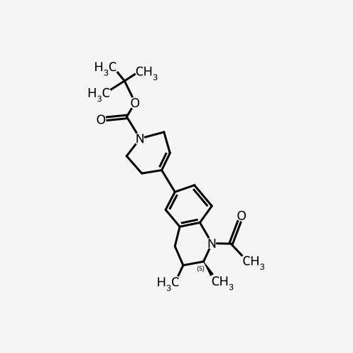 CC(=O)N1c2ccc(C3=CCN(C(=O)OC(C)(C)C)CC3)cc2CC(C)[C@@H]1C